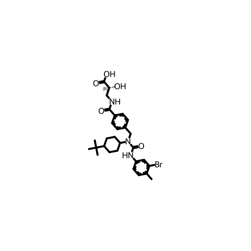 Cc1ccc(NC(=O)N(Cc2ccc(C(=O)NC[C@@H](O)C(=O)O)cc2)C2CCC(C(C)(C)C)CC2)cc1Br